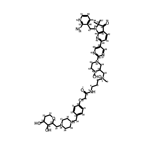 CN(CCCNC(=O)COc1ccc(CN2CCN(CC3OCCC(O)C3O)CC2)cc1)CC1CN(c2ncc(-c3ccc4c(n3)N(Cc3cccnc3C#N)C(C)(C)C4=O)cn2)CCN1C=O